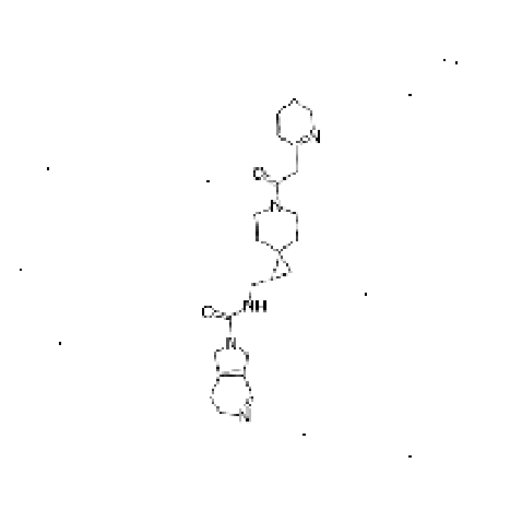 O=C(CC1=NCCC=C1)N1CCC2(CC1)CC2CNC(=O)N1CC2=C(CCN=C2)C1